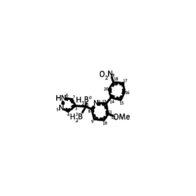 BC(B)(c1cn[nH]c1)c1ccc(OC)c(-c2cccc([N+](=O)[O-])c2)n1